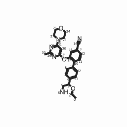 CCOC(CN)c1ccc(-c2ccc(C#N)cc2Oc2cc(N3CCOCC3)nc(C)n2)cc1